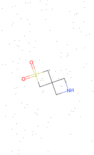 O=S1(=O)[C]C2(CNC2)C1